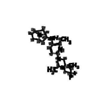 Cc1nc(N2CC(C)N(CC(F)(F)F)C(C)C2)ccc1NC1CC2CCC3CC1N23